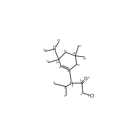 CC(C)N(C(=O)CCl)C1=CC(C)(N(C)C)CC(C)(C)C1